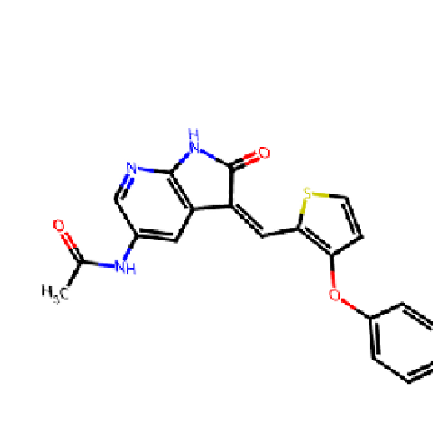 CC(=O)Nc1cnc2c(c1)C(=Cc1sccc1Oc1ccccc1)C(=O)N2